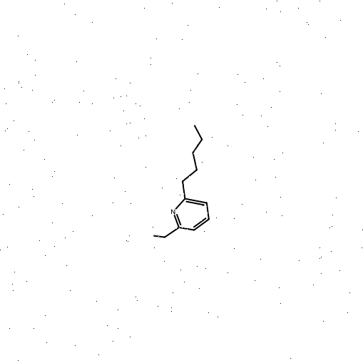 CCCCCc1cccc(CC)n1